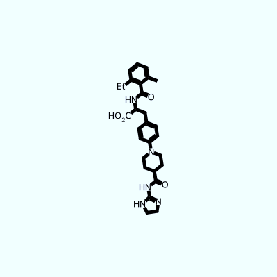 CCc1cccc(C)c1C(=O)NC(Cc1ccc(N2CCC(C(=O)NC3=NCCN3)CC2)cc1)C(=O)O